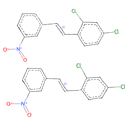 O=[N+]([O-])c1cccc(/C=C/c2ccc(Cl)cc2Cl)c1.O=[N+]([O-])c1cccc(/C=C/c2ccc(Cl)cc2Cl)c1